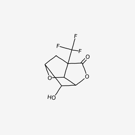 O=C1OC2C(O)C3CC1(C(F)(F)F)C2O3